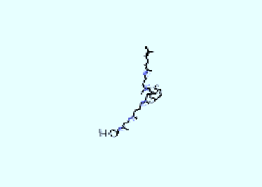 CC(C)=CCC/C(C)=C/CC/C(C)=C/C1(C/C(C)=C/CC/C(C)=C/CC/C(C)=C/CO)SCCCS1